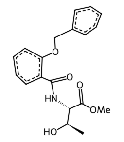 COC(=O)[C@@H](NC(=O)c1ccccc1OCc1ccccc1)[C@@H](C)O